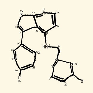 Cc1cccc(CNc2ccnc3scc(-c4ccc(F)cc4)c23)n1